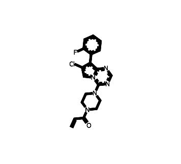 C=CC(=O)N1CCN(c2ncnc3c(-c4ccccc4F)c(Cl)cn23)CC1